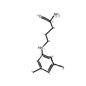 Cc1cc(C)cc(NCCCC(N)=O)c1